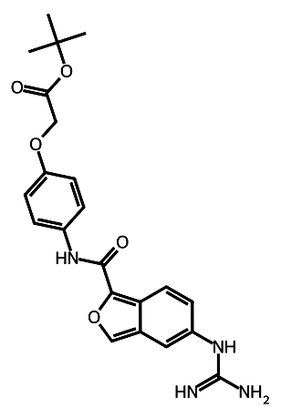 CC(C)(C)OC(=O)COc1ccc(NC(=O)c2occ3cc(NC(=N)N)ccc23)cc1